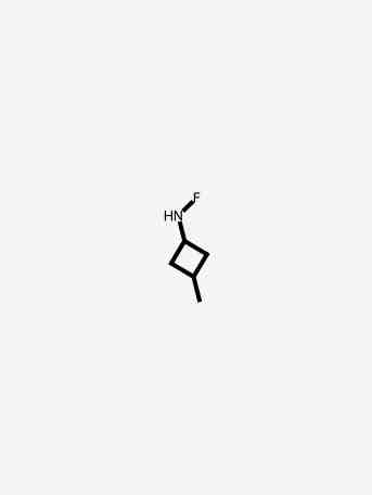 CC1CC(NF)C1